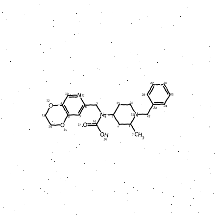 CC1CC(N(Cc2cc3c(cn2)OCCO3)C(=O)O)CCN1Cc1ccccc1